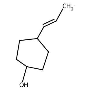 [CH2]C=CC1CCC(O)CC1